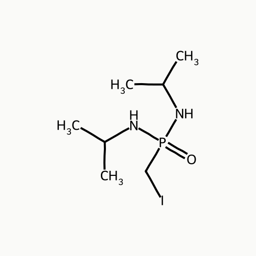 CC(C)NP(=O)(CI)NC(C)C